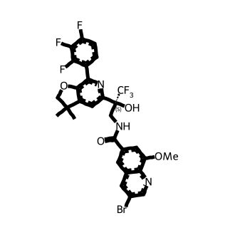 COc1cc(C(=O)NC[C@](O)(c2cc3c(c(-c4ccc(F)c(F)c4F)n2)OCC3(C)C)C(F)(F)F)cc2cc(Br)cnc12